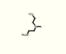 CNCCN(C)CCO